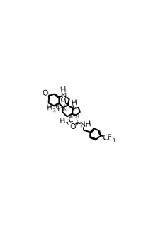 C[C@]12CC[C@H]3[C@@H](CNC4=CC(=O)CC[C@@]43C)[C@@H]1CC[C@@H]2C(=O)NCc1ccc(C(F)(F)F)cc1